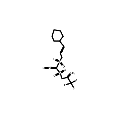 C=C(CS(=O)(=O)C(=[N+]=[N-])S(=O)(=O)CC=CC1CCCCC1)C(F)(F)F